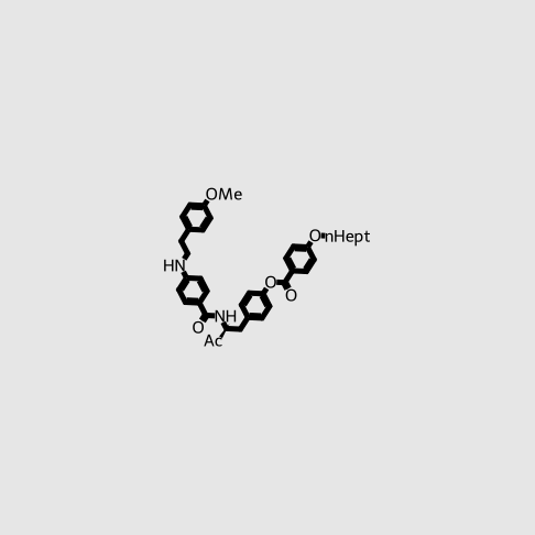 CCCCCCCOc1ccc(C(=O)Oc2ccc(C[C@H](NC(=O)c3ccc(NCCc4ccc(OC)cc4)cc3)C(C)=O)cc2)cc1